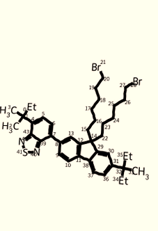 CCC(C)(C)c1ccc(-c2ccc3c(c2)C(CCCCCCBr)(CCCCCCBr)c2cc(C(C)(CC)CC)ccc2-3)c2nsnc12